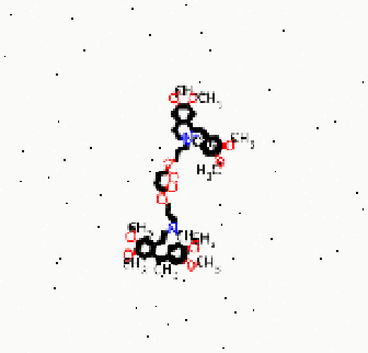 COc1ccc(CC2c3cc(OC)c(OC)cc3CC[N+]2(C)CCCOC(=O)/C=C\C(=O)OCCCN(C)CCc2cc(OC)c(OC)cc2C(C)c2ccc(OC)c(OC)c2)cc1OC